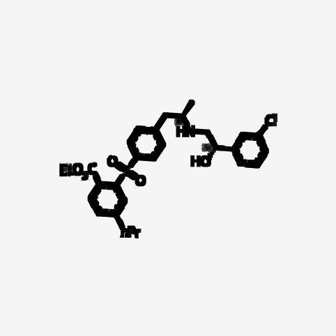 CCCc1ccc(C(=O)OCC)c(S(=O)(=O)c2ccc(C[C@@H](C)NC[C@@H](O)c3cccc(Cl)c3)cc2)c1